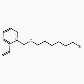 C=Cc1ccccc1COCCCCCCBr